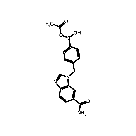 NC(=O)c1ccc2ncn(Cc3ccc(B(O)OC(=O)C(F)(F)F)cc3)c2c1